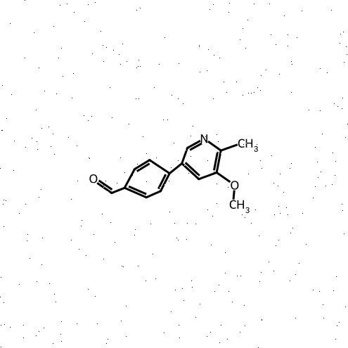 COc1cc(-c2ccc(C=O)cc2)cnc1C